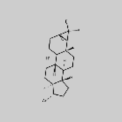 CC(=O)[C@H]1CC[C@H]2[C@@H]3CC[C@H]4C5C(F)(F)[C@@]5(O)CC[C@@H]4[C@H]3CC[C@]12C